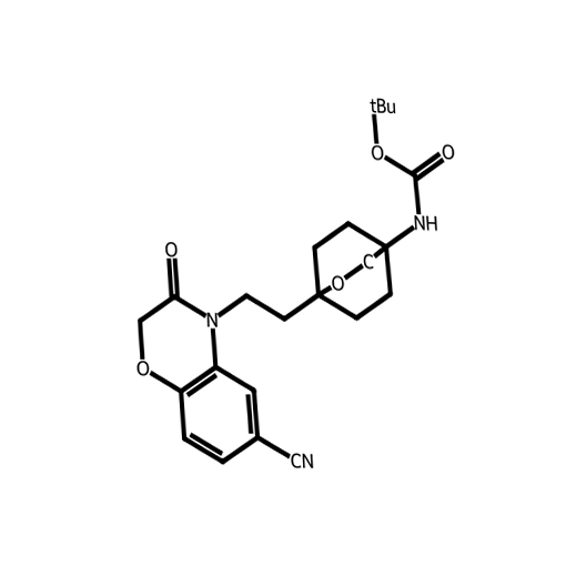 CC(C)(C)OC(=O)NC12CCC(CCN3C(=O)COc4ccc(C#N)cc43)(CC1)OC2